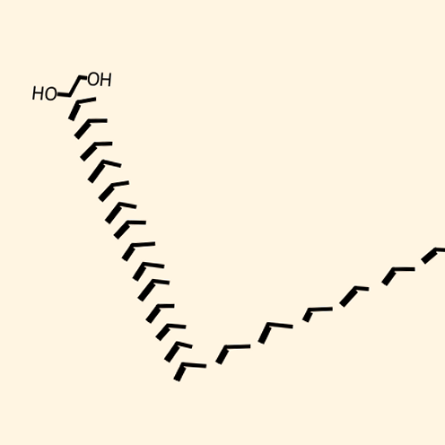 C=CC.C=CC.C=CC.C=CC.C=CC.C=CC.C=CC.C=CC.C=CC.C=CC.C=CC.C=CC.C=CC.C=CC.C=CC.C=CC.C=CC.C=CC.C=CC.C=CC.OCCO